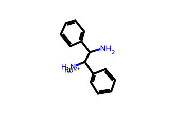 NC(c1ccccc1)C(N)c1ccccc1.[Ru+2]